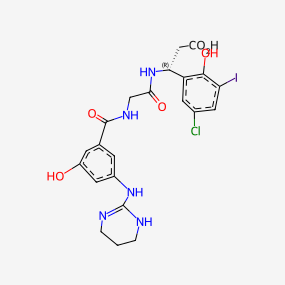 O=C(O)C[C@@H](NC(=O)CNC(=O)c1cc(O)cc(NC2=NCCCN2)c1)c1cc(Cl)cc(I)c1O